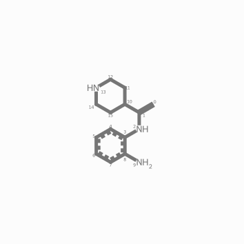 C=C(Nc1ccccc1N)C1CCNCC1